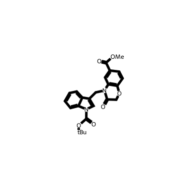 COC(=O)c1ccc2c(c1)N(Cc1cn(C(=O)OC(C)(C)C)c3ccccc13)C(=O)CO2